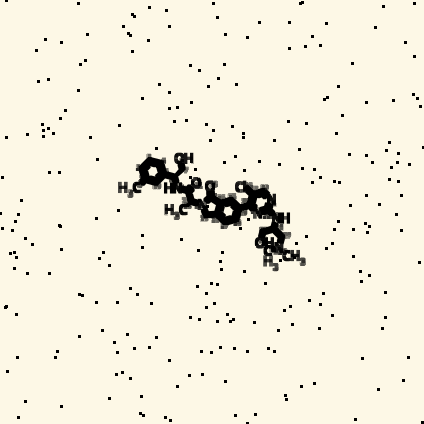 Cc1cccc([C@@H](CO)NC(=O)[C@@H](C)N2Cc3ccc(-c4nc(NC(CO)CN(C)C)ncc4Cl)cc3C2=O)c1